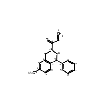 C=CC(=O)N1Cc2cc(OCC(C)C)ccc2[C@H](c2ccccc2)C1